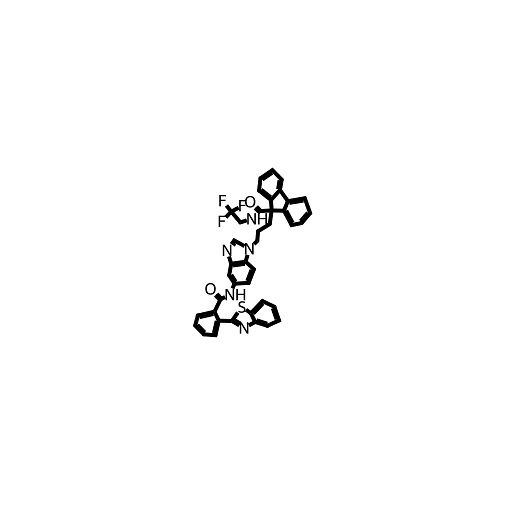 O=C(Nc1ccc2c(c1)ncn2CCCC1(C(=O)NCC(F)(F)F)c2ccccc2-c2ccccc21)c1ccccc1-c1nc2ccccc2s1